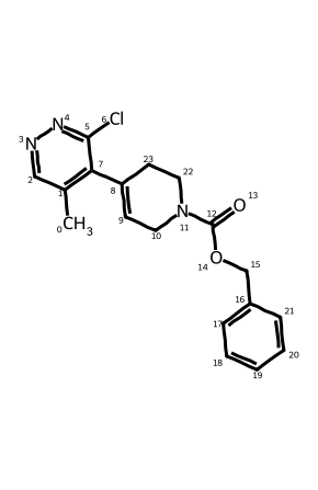 Cc1cnnc(Cl)c1C1=CCN(C(=O)OCc2ccccc2)CC1